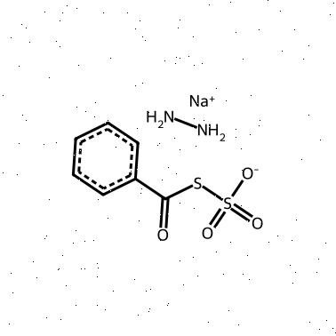 NN.O=C(SS(=O)(=O)[O-])c1ccccc1.[Na+]